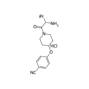 CC(C)C(N)C(=O)N1CCC(Oc2ccc(C#N)cc2)CC1.Cl